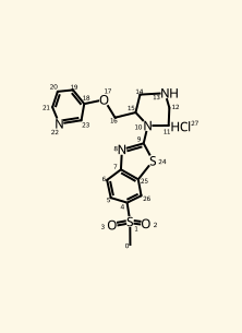 CS(=O)(=O)c1ccc2nc(N3CCNCC3COc3cccnc3)sc2c1.Cl